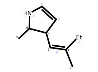 CC/C(C)=C\C1C=CNC1C